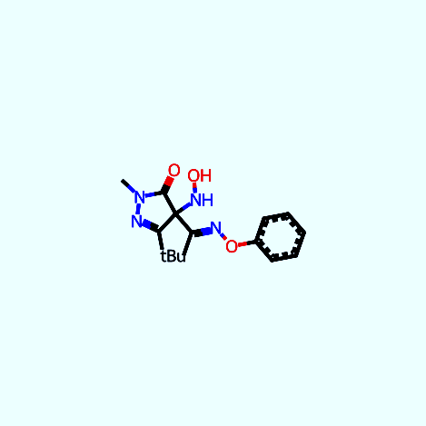 C/C(=N\Oc1ccccc1)C1(NO)C(=O)N(C)N=C1C(C)(C)C